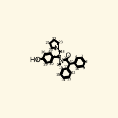 CN(C(=O)C(c1ccccc1)c1ccccc1)[C@H](CN1CCCC1)c1ccc(O)cc1